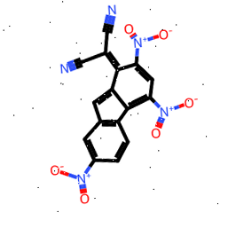 N#CC(C#N)=c1c([N+](=O)[O-])cc([N+](=O)[O-])c2c1=Cc1cc([N+](=O)[O-])ccc1-2